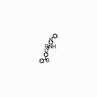 O=C(COc1ccc(C(=O)c2ccccc2)cc1)NC1CCN(Cc2ccccc2)CC1